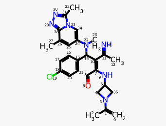 C=C(C)N1CC(N/C(C=O)=C(\C(C)=N)C(c2ccc(Cl)cc2)N(C)c2cc(C)c3nnc(C)n3c2)C1